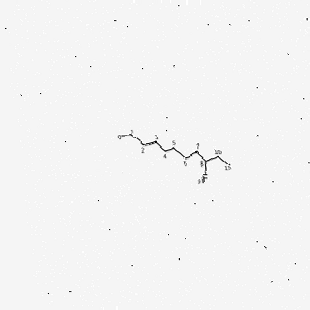 CCCCCCCCC(F)CC